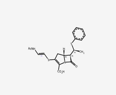 CC(=O)N/C=C/SC1=C(C(=O)O)N2C(=O)[C@H]([C@H](C)Sc3ccccc3)[C@H]2C1